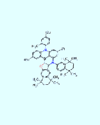 Cc1cc(C(C)(C)C)ccc1N1c2ccc(C(C)(C)C)cc2B2c3c1cc(C(C)C)cc3N(c1ccc3c(c1)C(C)(C)CCC3(C)C)C1c3cc4c(cc3OC21)C(C)(C)CCC4(C)C